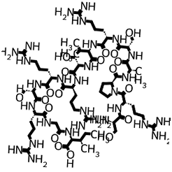 CC[C@H](C)[C@H](NC(=O)CNC(=O)[C@H](CCCNC(=N)N)NC(=O)[C@H](CO)NC(=O)[C@H](CCCNC(=N)N)NC(=O)[C@H](CCCNC(=N)N)NC(=O)[C@H](CO)NC(=O)[C@@H](NC(=O)[C@H](CCCNC(=N)N)NC(=O)[C@H](CO)NC(=O)[C@H](C)NC(=O)[C@@H]1CCCN1C(=O)[C@H](CCCNC(=N)N)NC(=O)[C@@H](N)CO)C(C)C)C(=O)O